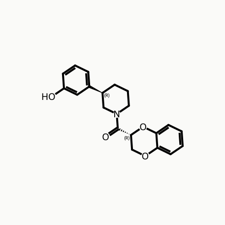 O=C([C@H]1COc2ccccc2O1)N1CCC[C@H](c2cccc(O)c2)C1